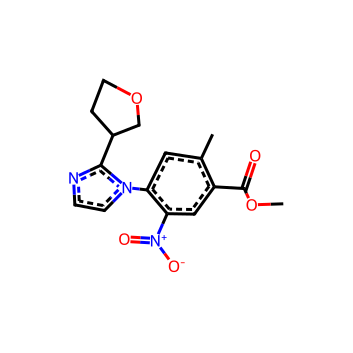 COC(=O)c1cc([N+](=O)[O-])c(-n2ccnc2C2CCOC2)cc1C